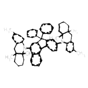 Cc1ccc2c(c1)CC1(C)CCCCC1(C)N2c1ccc2c(c1)C(c1ccccc1)(c1ccccc1)c1cc(N3c4ccc(C)cc4CC4(C)CCCCC34C)c3ccccc3c1-2